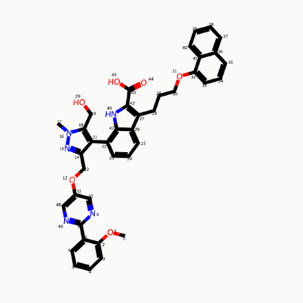 COc1ccccc1-c1ncc(OCc2nn(C)c(CO)c2-c2cccc3c(CCCOc4cccc5ccccc45)c(C(=O)O)[nH]c23)cn1